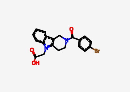 O=C(O)Cn1c2c(c3ccccc31)CN(C(=O)c1ccc(Br)cc1)CC2